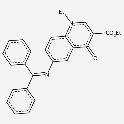 CCOC(=O)c1cn(CC)c2ccc(N=C(c3ccccc3)c3ccccc3)cc2c1=O